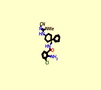 CN/C(=N\C#N)N[C@H]1CC[C@](CNC(=O)c2cccc(Cl)c2N)(c2ccccc2)CC1